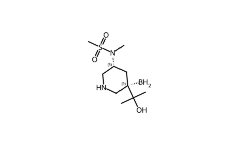 B[C@]1(C(C)(C)O)CNC[C@H](N(C)S(C)(=O)=O)C1